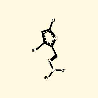 CC(C)(C)[S+]([O-])N=Cc1sc(Cl)cc1Br